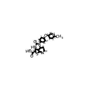 Cc1ccc(Oc2ccc(N3C(=O)Nc4c(C(=O)O)sc5nccc3c45)cc2)cn1